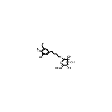 COc1cc(CCCCO[C@@H]2O[C@H](CO)[C@@H](O)[C@H](O)[C@H]2O)cc(OC)c1OC